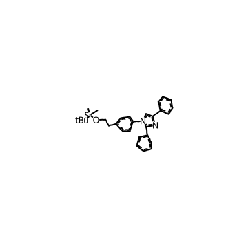 CC(C)(C)[Si](C)(C)OCCc1ccc(-n2cc(-c3ccccc3)nc2-c2ccccc2)cc1